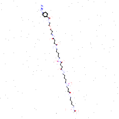 CC(=O)N(O)CCCCCNC(=O)CCCN(O)CCCCCNC(=O)CCC(=O)N(O)CCCCCNC(=O)CCC(=O)NCCCOCCNC(=O)c1ccc(N=[N+]=[N-])cc1